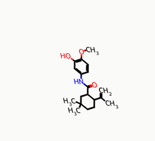 C=C(C)C1CCC(C)(C)CC1C(=O)Nc1ccc(OC)c(O)c1